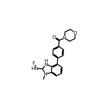 CN1c2cccc(-c3ccc(C(=O)N4CCOCC4)cc3)c2NC1NF